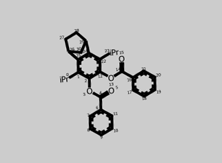 CC(C)c1c(OC(=O)c2ccccc2)c(OC(=O)c2ccccc2)c(C(C)C)c2c1C1CCC2C1